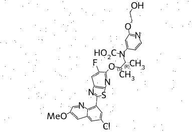 COc1cnc2c(-c3nc4cc(F)c(O[C@@H](C)[C@@H](C)N(C(=O)O)c5ccnc(OCCO)c5)nc4s3)cc(Cl)cc2c1